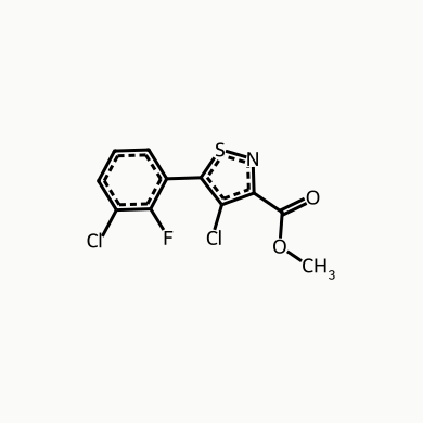 COC(=O)c1nsc(-c2cccc(Cl)c2F)c1Cl